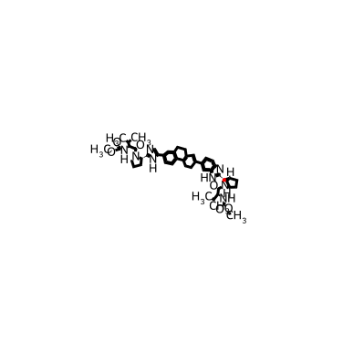 COC(=O)N[C@H](C(=O)N1CCC[C@H]1c1ncc(-c2ccc3c(c2)CCC2=C3CCC(c3ccc4nc([C@@H]5[C@H]6CC[C@H](C6)N5C(=O)[C@@H](NC(=O)OC)C(C)C)[nH]c4c3)=C2)[nH]1)C(C)C